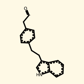 O=[C]Cc1ccc(CCc2c[nH]c3ccccc23)cc1